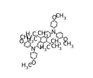 COc1ccc(N(c2ccc(OC)cc2)c2ccc3c(C(C)(C)C)c4cc(N(c5ccc(OC)cc5)c5ccc(OC)cc5)ccc4c(C(C)(C)C)c3c2)cc1